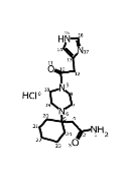 Cl.NC(=O)CC1(N2CCN(C(=O)Cc3c[nH]cn3)CC2)CCCCC1